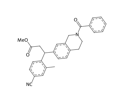 COC(=O)CC(c1ccc2c(c1)CN(C(=O)c1ccccc1)CC2)c1ccc(C#N)cc1C